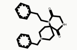 O=C1CNC(=O)C2(CCN(Cc3ccccc3)CC2)N1CCc1ccccc1